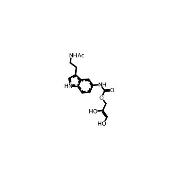 CC(=O)NCCc1c[nH]c2ccc(NC(=O)OCC(O)=CO)cc12